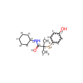 CC(C)(Sc1ccc(O)cc1)C(=O)NC1CCCCC1